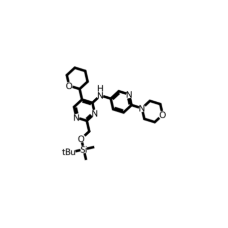 CC(C)(C)[Si](C)(C)OCc1ncc(C2CCCCO2)c(Nc2ccc(N3CCOCC3)nc2)n1